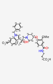 COc1cc(C(=O)NCCC(=O)O)ccc1OC1CCN(CC(O)(c2cn(Cc3ccccc3)c3cc([N+](=O)[O-])ccc23)C(F)(F)F)CC1